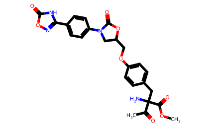 COC(=O)C(N)(Cc1ccc(OCC2CN(c3ccc(-c4noc(=O)[nH]4)cc3)C(=O)O2)cc1)C(C)=O